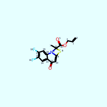 C=CCOC(=O)C1(C)Sc2cc(=O)c3cc(F)c(F)cc3n21